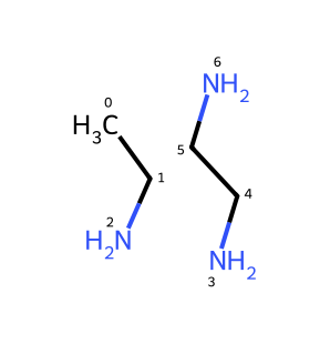 CCN.NCCN